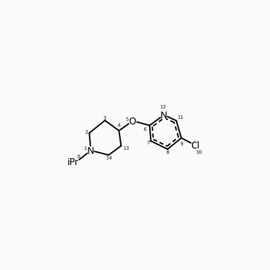 CC(C)N1CCC(Oc2ccc(Cl)cn2)CC1